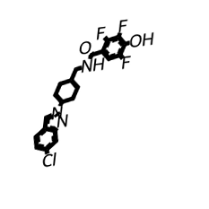 O=C(NCC1CCC(n2cc3ccc(Cl)cc3n2)CC1)c1cc(F)c(O)c(F)c1F